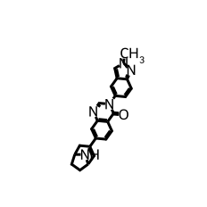 Cn1cc2cc(-n3cnc4cc(C5=CC6CCC(C5)N6)ccc4c3=O)ccc2n1